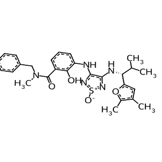 Cc1cc([C@H](Nc2n[s+]([O-])nc2Nc2cccc(C(=O)N(C)Cc3ccccc3)c2O)C(C)C)oc1C